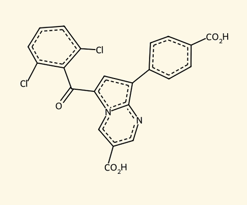 O=C(O)c1ccc(-c2cc(C(=O)c3c(Cl)cccc3Cl)n3cc(C(=O)O)cnc23)cc1